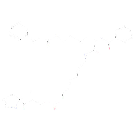 O=C(NCCCC[C@H](NC(=O)C1CCCCC1)C(=O)NCCCCCCO[PH](=O)OCCC(=O)[C@]1(C(=O)O)CCCN1)OCc1ccccc1